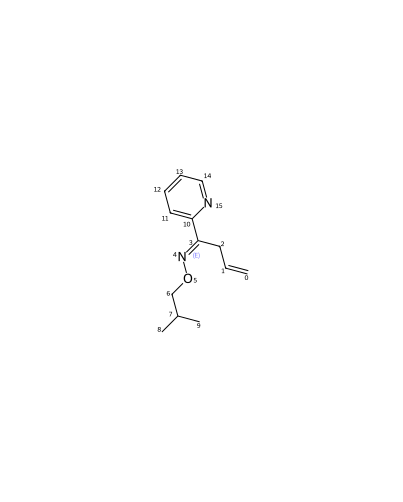 C=CC/C(=N\OCC(C)C)c1ccccn1